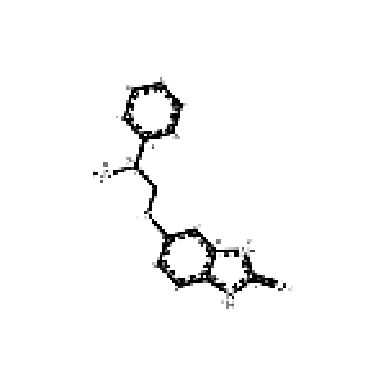 N[C@H](COc1ccc2[nH]c(=O)[nH]c2c1)c1ccccc1